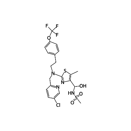 Cc1sc(N(CCc2ccc(OC(F)(F)F)cc2)Cc2ccc(Cl)cn2)nc1C(O)NS(C)(=O)=O